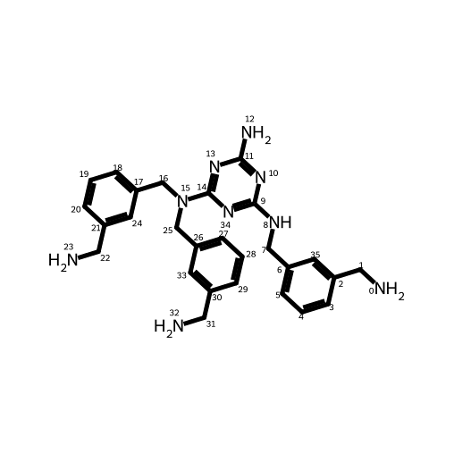 NCc1cccc(CNc2nc(N)nc(N(Cc3cccc(CN)c3)Cc3cccc(CN)c3)n2)c1